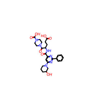 O=C(O)CCC(NC(=O)c1cc(N2CCCC(O)C2)nc(-c2ccccc2)n1)C(=O)N1CCN(C(=O)O)CC1